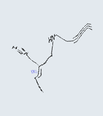 C#CNC/C(N)=C\C